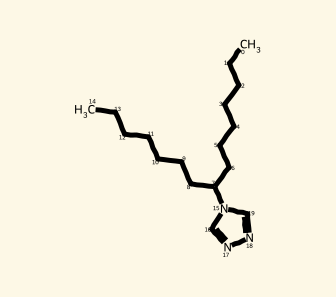 CCCCCCCC(CCCCCCC)n1cnnc1